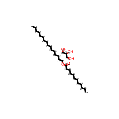 CCCCCCCCCCCCCCCCOC(=O)CCCCCCCCCCC.OCC(O)CO